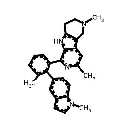 Cc1cc2c3c([nH]c2c(-c2cccc(C)c2-c2ccc4c(ccn4C)c2)n1)CCN(C)C3